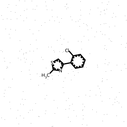 Cc1nc(-c2ccccc2Cl)cs1